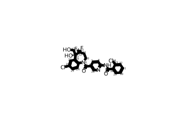 O=C(Nc1ccc(C(=O)N2CCC(F)(F)[C@](O)(CO)c3cc(Cl)ccc32)cn1)c1ccccc1Cl